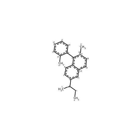 CCC(C)c1ccc2c(-c3ccncc3C)[n+](C)ccc2c1